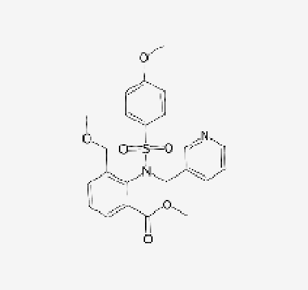 COCc1cccc(C(=O)OC)c1N(Cc1cccnc1)S(=O)(=O)c1ccc(OC)cc1